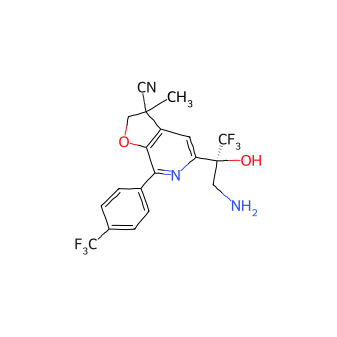 CC1(C#N)COc2c1cc([C@@](O)(CN)C(F)(F)F)nc2-c1ccc(C(F)(F)F)cc1